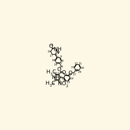 CC1=C(C(=O)OCc2ccc(C3=NNC(=O)CC3)cc2)C(c2cccc(OCc3ccccc3)c2)C([N+](=O)[O-])=C(C)N1